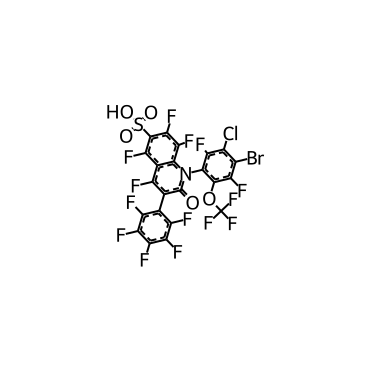 O=c1c(-c2c(F)c(F)c(F)c(F)c2F)c(F)c2c(F)c(S(=O)(=O)O)c(F)c(F)c2n1-c1c(F)c(Cl)c(Br)c(F)c1OC(F)(F)F